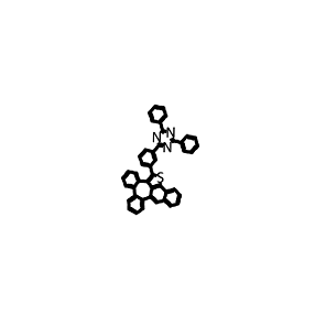 c1ccc(-c2nc(-c3ccccc3)nc(-c3cccc(-c4sc5c6c(cc7ccccc75)-c5ccccc5-c5ccccc5-c46)c3)n2)cc1